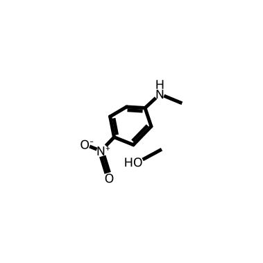 CNc1ccc([N+](=O)[O-])cc1.CO